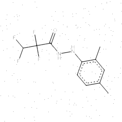 Cc1ccc(NNC(=O)C(F)(F)C(F)F)c(C)c1